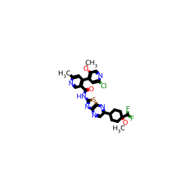 COc1cnc(Cl)cc1-c1cc(C)ncc1C(=O)Nc1nc2ncc(C3CCC(OC)(C(F)F)CC3)nc2s1